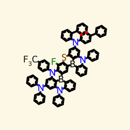 Fc1c2c(cc3c1N(c1ccc(C(F)(F)F)cc1)c1cc(N(c4ccccc4)c4ccccc4)cc4c1B3c1ccccc1N4c1ccccc1)B1c3ccccc3N(c3ccccc3)c3cc(N(c4ccc(-c5ccccc5)cc4)c4ccccc4-c4ccccc4)cc(c31)S2